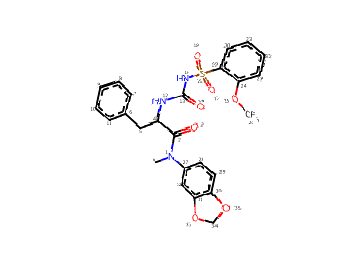 CN(C(=O)C(Cc1ccccc1)NC(=O)NS(=O)(=O)c1ccccc1OC(F)(F)F)c1ccc2c(c1)OCO2